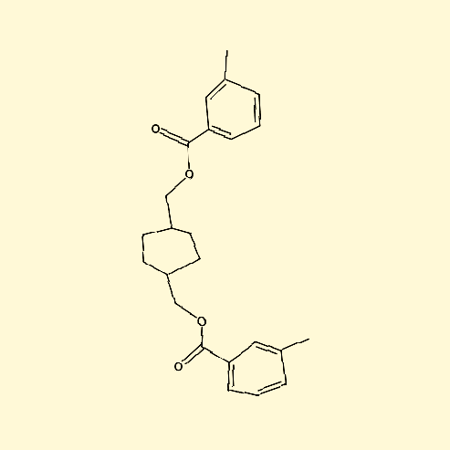 Cc1cccc(C(=O)OCC2CCC(COC(=O)c3cccc(C)c3)CC2)c1